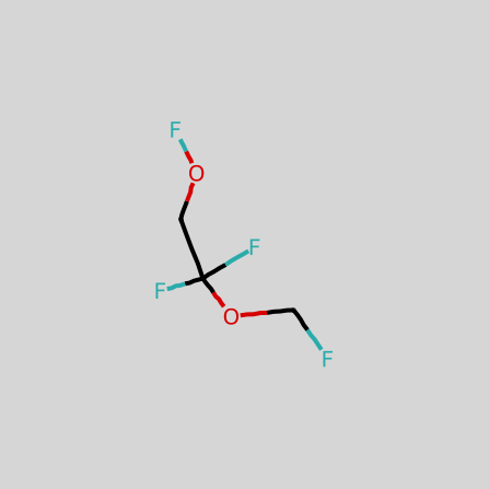 FCOC(F)(F)COF